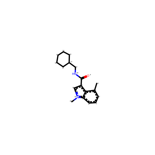 Cc1cccc2c1c(C(=O)NCC1CCCCC1)cn2C